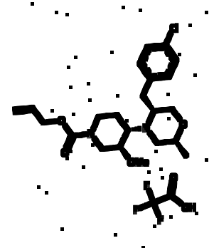 C=CCOC(=O)N1CC[C@H](N2C[C@H](C)OC[C@@H]2Cc2ccc(Cl)cc2)[C@@H](OC)C1.O=C(O)C(F)(F)F